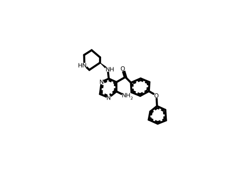 Nc1ncnc(N[C@@H]2CCCNC2)c1C(=O)c1ccc(Oc2ccccc2)cc1